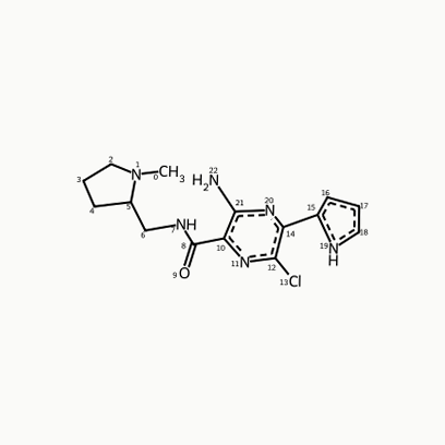 CN1CCCC1CNC(=O)c1nc(Cl)c(-c2ccc[nH]2)nc1N